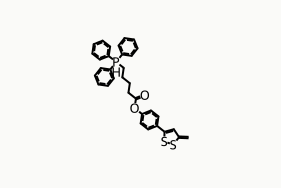 C=C1C=C(c2ccc(OC(=O)CCCC[PH](c3ccccc3)(c3ccccc3)c3ccccc3)cc2)SS1